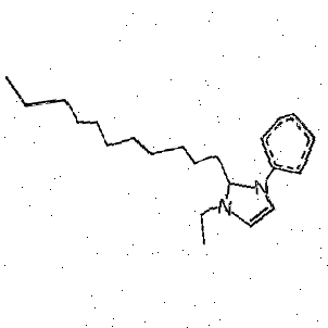 CCCCCCCCCCCC1N(CC)C=CN1c1ccccc1